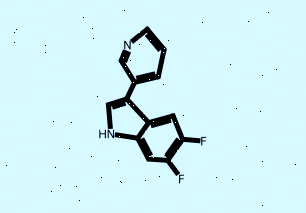 Fc1cc2[nH]cc(-c3cccnc3)c2cc1F